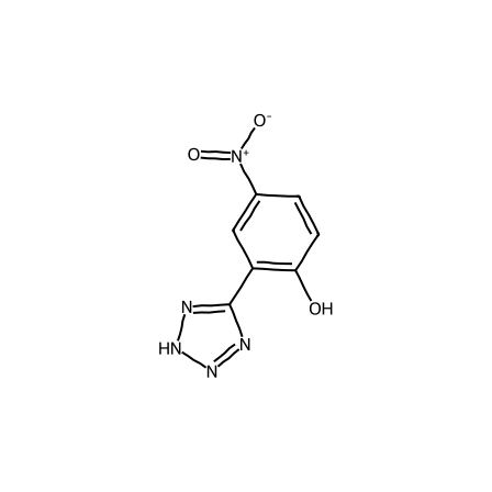 O=[N+]([O-])c1ccc(O)c(-c2nn[nH]n2)c1